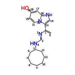 C=C(/N=C/NC1CCCCCCC1)c1cnc2cc(O)ccn12